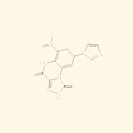 O=c1[nH]c2c([N+](=O)[O-])cc(-n3ccnc3)cc2n2c(=O)[nH]nc12